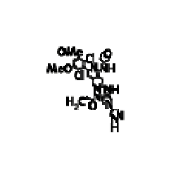 C=CC(=O)N[C@H]1CN(c2cn[nH]c2)C[C@H]1Nc1cc2c(NC3CCOC3)nc(-c3c(Cl)c(OC)cc(OC)c3Cl)cc2cn1